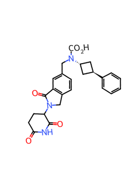 O=C1CCC(N2Cc3ccc(CN(C(=O)O)[C@H]4C[C@H](c5ccccc5)C4)cc3C2=O)C(=O)N1